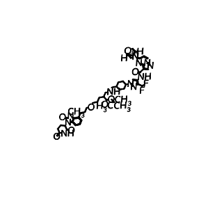 Cn1c(=O)n(C2CCC(=O)NC2=O)c2cccc(CCCOCCCC(CNCC3CCC(n4cc(NC(=O)c5cnn6ccc(N7C[C@H]8C[C@@H]7CO8)nc56)c(C(F)F)n4)CC3)C(=O)OC(C)(C)C)c21